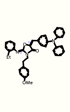 CCc1ccccc1/N=C1\O/C(=C/c2ccc(N(c3ccccc3)c3ccccc3)cc2)C(=O)N1CCc1ccc(OC)cc1